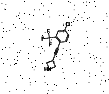 FC(F)(F)c1cc(Cl)ccc1C#CC1CNC1